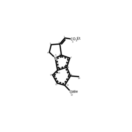 CCOC(=O)C=C1CCn2c1cc1c(C)c(OC)ccc12